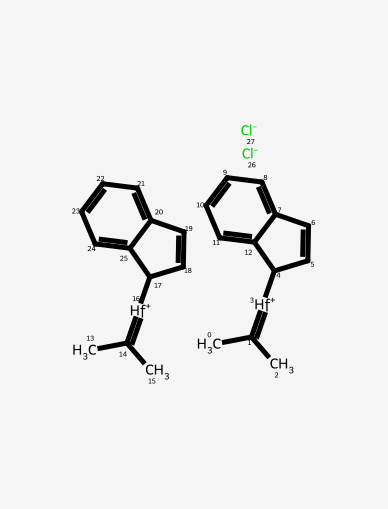 C[C](C)=[Hf+][CH]1C=Cc2ccccc21.C[C](C)=[Hf+][CH]1C=Cc2ccccc21.[Cl-].[Cl-]